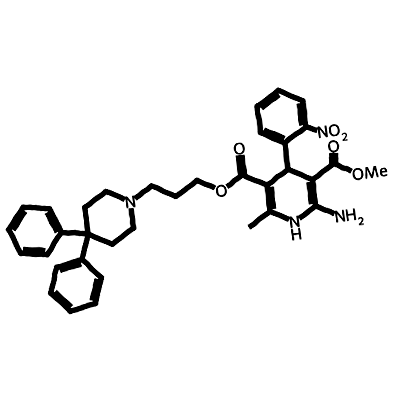 COC(=O)C1=C(N)NC(C)=C(C(=O)OCCCN2CCC(c3ccccc3)(c3ccccc3)CC2)C1c1ccccc1[N+](=O)[O-]